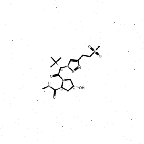 CNC(=O)[C@@H]1C[C@@H](O)CN1C(=O)[C@@H](n1cc(CCS(C)(=O)=O)nn1)C(C)(C)C